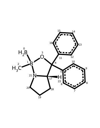 B[B-]1(C)OC(c2ccccc2)(c2ccccc2)[C@@H]2CCCN21